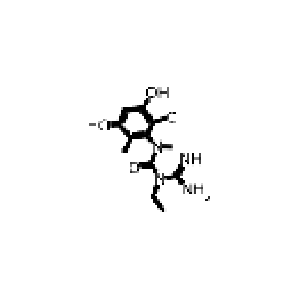 CCN(C(=N)N)C(=O)N(C)c1c(C)c(O)cc(O)c1Cl